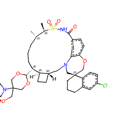 C[C@@H]1[C@@H](C)CCC[C@@H](C2OCC(CO)(N(C)C)CO2)[C@@H]2CC[C@H]2CN2C[C@@]3(CCCc4cc(Cl)ccc43)COc3ccc(cc32)C(=O)NS1(=O)=O